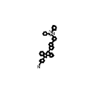 N#Cc1ccc(-c2cc3c4ccccc4c(-c4ccc5cc(-c6cccc(-c7nc(-c8ccccc8)nc(-c8ccccc8)n7)c6)ccc5c4)cc3c3ccccc23)cc1